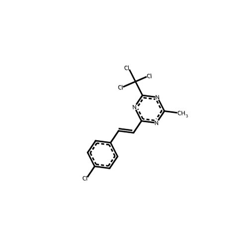 Cc1nc(C=Cc2ccc(Cl)cc2)nc(C(Cl)(Cl)Cl)n1